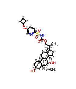 CC[C@H]1[C@@H](O)[C@@H]2[C@H](CC[C@]3(C)[C@@H]([C@H](C)COC(=O)NS(=O)(=O)c4ccc(OC5CCC5)cn4)CC[C@@H]23)[C@@]2(C)CC[C@@H](O)C[C@@H]12